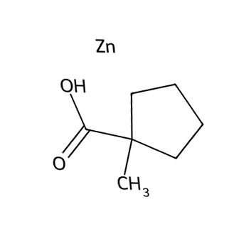 CC1(C(=O)O)CCCC1.[Zn]